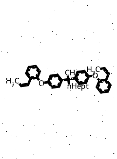 C/C=C\c1ccccc1Oc1ccc(C(C)(CCCCCCC)c2ccc(Oc3ccccc3/C=C\C)cc2)cc1